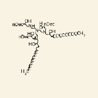 C=C=C=C=C=C=C=C=C=CC(O)CN(CCN(CCNCC(O)CCCCCCCCCC)CCN(CC(O)C=C=C=C=C=C=C=C=C=C)CC(O)CCCCCCCCCC)CC(O)CCCCCCCCCC